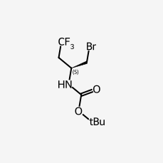 CC(C)(C)OC(=O)N[C@H](CBr)CC(F)(F)F